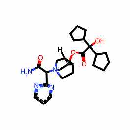 NC(=O)C(c1ncccn1)[N+]12CCC(CC1)[C@@H](OC(=O)C(O)(C1CCCC1)C1CCCC1)C2